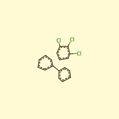 Clc1cccc(Cl)c1Cl.c1ccc(-c2ccccc2)cc1